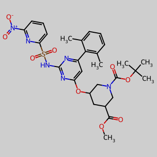 COC(=O)C1CC(Oc2cc(-c3c(C)cccc3C)nc(NS(=O)(=O)c3cccc([N+](=O)[O-])n3)n2)CN(C(=O)OC(C)(C)C)C1